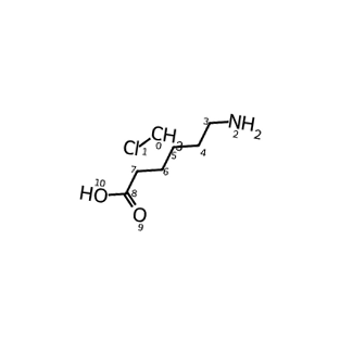 CCl.NCCCCCC(=O)O